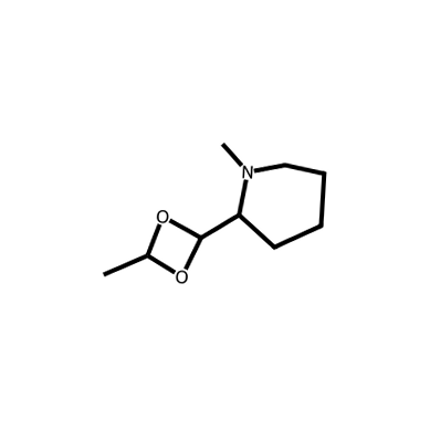 CC1OC(C2CCCCN2C)O1